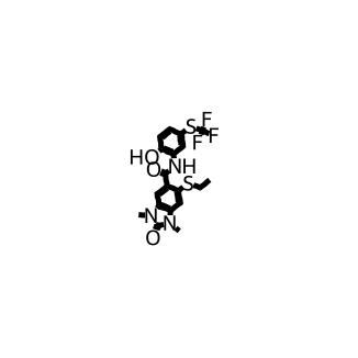 CCSc1cc2c(cc1C(=O)Nc1cc(SC(F)(F)F)ccc1O)n(C)c(=O)n2C